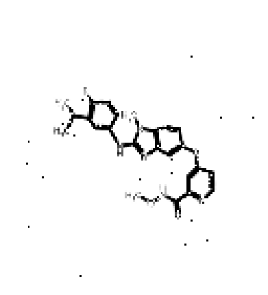 CONC(=O)c1cc(Oc2ccc3c(c2)nc(Nc2ccc(F)c(C(C)C)c2)n3C)ccn1